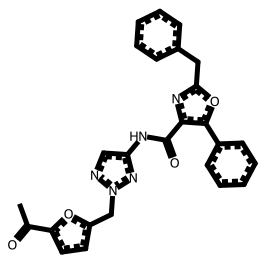 CC(=O)c1ccc(Cn2ncc(NC(=O)c3nc(Cc4ccccc4)oc3-c3ccccc3)n2)o1